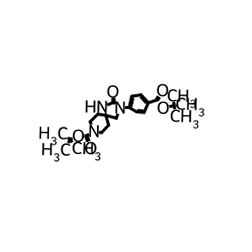 CC(C)(C)OC(=O)c1ccc(N2CC3(CCN(C(=O)OC(C)(C)C)CC3)NC2=O)cc1